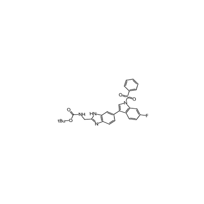 CC(C)(C)OC(=O)NCc1nc2ccc(-c3cn(S(=O)(=O)c4ccccc4)c4cc(F)ccc34)cc2[nH]1